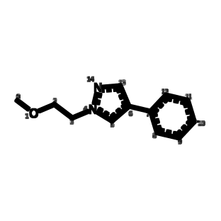 COCCn1cc(-c2cc[c]cc2)cn1